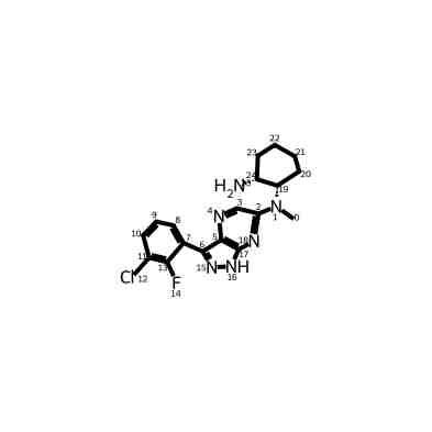 CN(c1cnc2c(-c3cccc(Cl)c3F)n[nH]c2n1)[C@H]1CCCC[C@H]1N